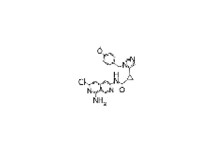 COc1ccc(Cn2cncc2C2CC2C(=O)Nc2cc3cc(Cl)nc(N)c3cn2)cc1